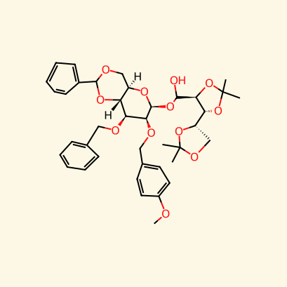 COc1ccc(CO[C@@H]2[C@H](OC(O)[C@H]3OC(C)(C)O[C@@H]3[C@@H]3COC(C)(C)O3)O[C@@H]3COC(c4ccccc4)O[C@H]3[C@@H]2OCc2ccccc2)cc1